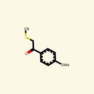 COc1ccc(C(=O)CSC#N)cc1